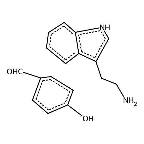 NCCc1c[nH]c2ccccc12.O=Cc1ccc(O)cc1